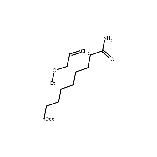 C=CCOCC.CCCCCCCCCCCCCCCCCC(N)=O